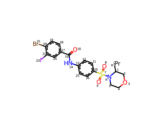 CC(C)C1COCCN1S(=O)(=O)c1ccc(NC(=O)c2ccc(Br)c(I)c2)cc1